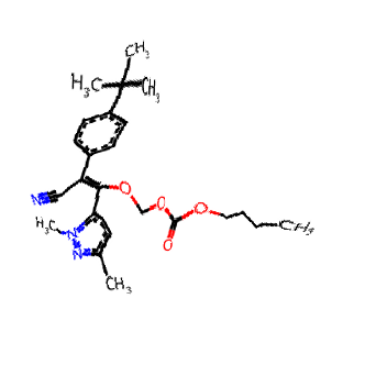 CCCCOC(=O)OCO/C(=C(/C#N)c1ccc(C(C)(C)C)cc1)c1cc(C)nn1C